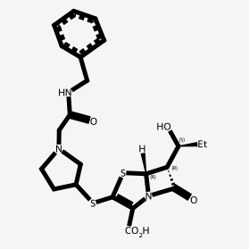 CC[C@H](O)[C@@H]1C(=O)N2C(C(=O)O)=C(SC3CCN(CC(=O)NCc4ccccc4)C3)S[C@H]12